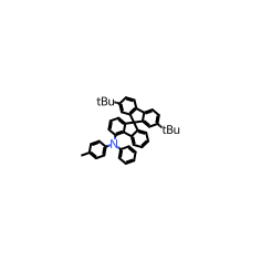 Cc1ccc(N(c2ccccc2)c2cccc3c2-c2ccccc2C32c3cc(C(C)(C)C)ccc3-c3ccc(C(C)(C)C)cc32)cc1